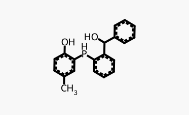 Cc1ccc(O)c(Pc2ccccc2C(O)c2ccccc2)c1